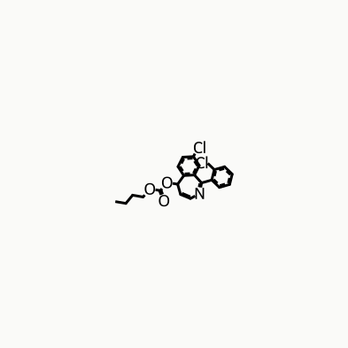 CCCCOC(=O)OC1C=CN=C(c2ccccc2Cl)c2cc(Cl)ccc21